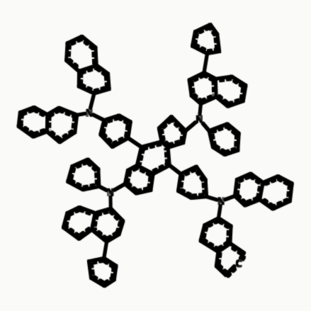 c1ccc(-c2ccc(N(c3ccccc3)c3ccc4c(-c5ccc(N(c6ccc7ccccc7c6)c6ccc7ccccc7c6)cc5)c5cc(N(c6ccccc6)c6ccc(-c7ccccc7)c7ccccc67)ccc5c(-c5ccc(N(c6ccc7ccccc7c6)c6ccc7ccccc7c6)cc5)c4c3)c3ccccc23)cc1